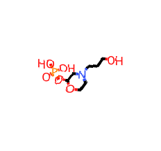 O=P(O)(O)OC1CN(CCCO)CCO1